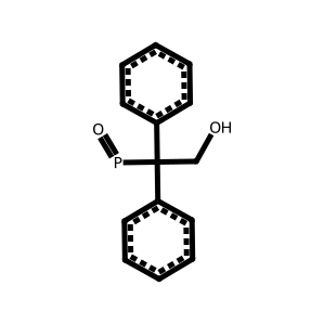 O=PC(CO)(c1ccccc1)c1ccccc1